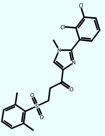 Cc1cccc(C)c1S(=O)(=O)CCC(=O)c1cn(C)c(-c2cccc(Cl)c2Cl)n1